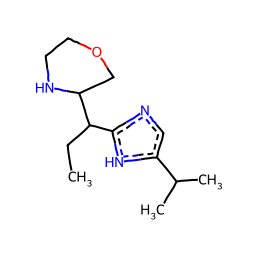 CCC(c1ncc(C(C)C)[nH]1)C1COCCN1